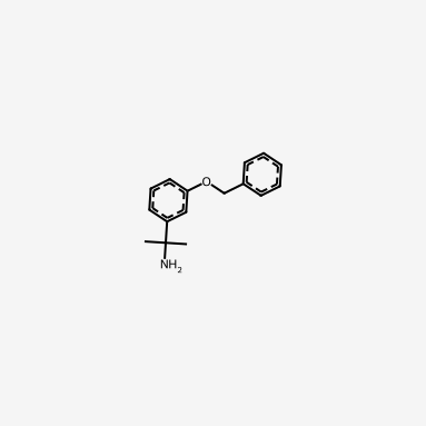 CC(C)(N)c1cccc(OCc2ccccc2)c1